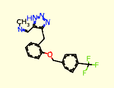 C/N=C\c1[nH]nnc1Cc1ccccc1OCc1ccc(C(F)(F)F)cc1